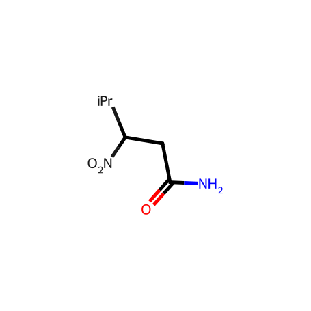 CC(C)C(CC(N)=O)[N+](=O)[O-]